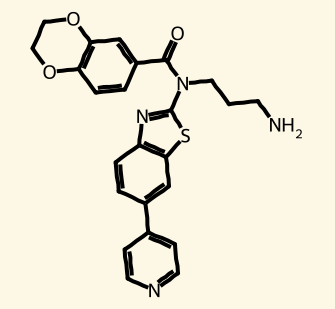 NCCCN(C(=O)c1ccc2c(c1)OCCO2)c1nc2ccc(-c3ccncc3)cc2s1